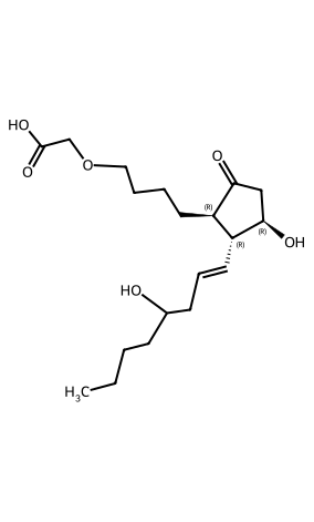 CCCCC(O)CC=C[C@H]1[C@H](O)CC(=O)[C@@H]1CCCCOCC(=O)O